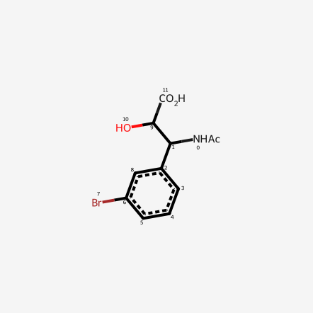 CC(=O)NC(c1cccc(Br)c1)C(O)C(=O)O